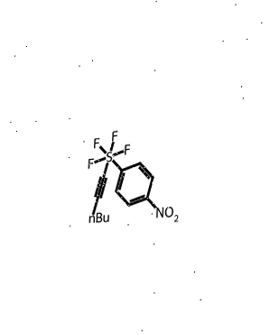 CCCCC#CS(F)(F)(F)(F)c1ccc([N+](=O)[O-])cc1